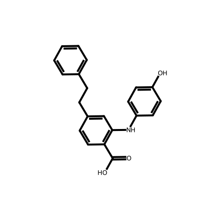 O=C(O)c1ccc(CCc2ccccc2)cc1Nc1ccc(O)cc1